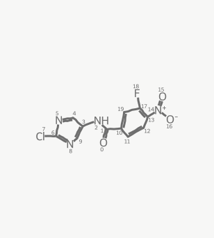 O=C(Nc1cnc(Cl)nc1)c1ccc([N+](=O)[O-])c(F)c1